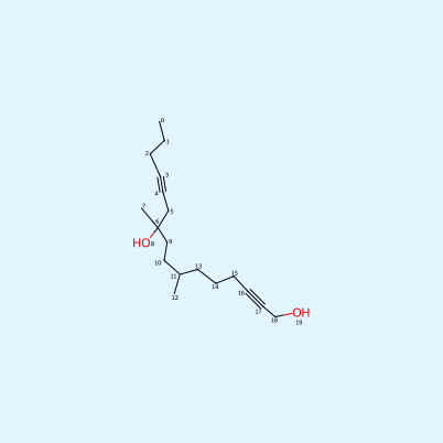 CCCC#CCC(C)(O)CCC(C)CCCC#CCO